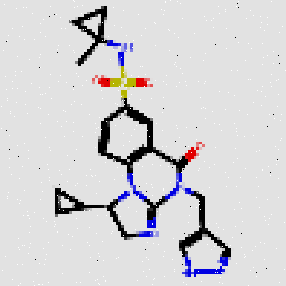 CC1(NS(=O)(=O)c2ccc3c(c2)C(=O)N(Cc2cn[nH]c2)C2=NC[C@@H](C4CC4)N23)CC1